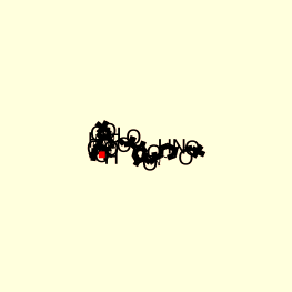 Cc1cc(C(=O)OC[C@H]2O[C@@H]3OC(C)(C)O[C@@H]3[C@H]3OC(C)(C)O[C@H]32)c(C)c2c1O[C@](C)([C@H]1CC[C@H](NC(=O)OC(C)(C)C)CC1)O2